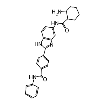 NC1CCCCC1C(=O)Nc1ccc2[nH]c(-c3ccc(C(=O)Nc4ccccc4)cc3)nc2c1